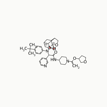 C=C(OC1CCOC1)N1CCC(NC(=O)C(c2cccnc2)N(C(=O)[C@H]2C3CO[C@H]4OCC2C4C3)c2ccc(C(C)(C)C)cc2)CC1